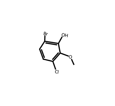 COc1c(Cl)ccc(Br)c1O